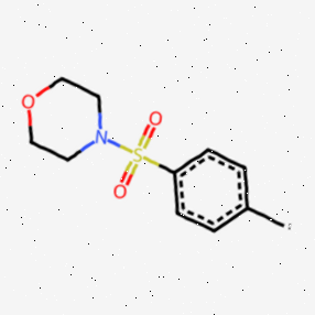 [CH]c1ccc(S(=O)(=O)N2CCOCC2)cc1